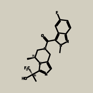 C[C@H]1CN(C(=O)c2c3cc(F)ccc3nn2C)Cc2cnc([C@@](C)(O)C(F)(F)F)n21